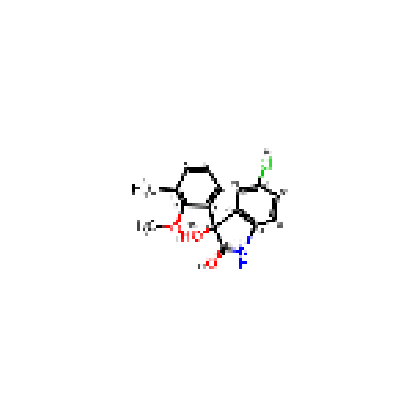 COc1c(C)cccc1C1(O)C(=O)Nc2ccc(Cl)cc21